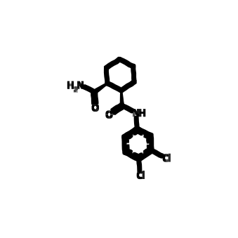 NC(=O)[C@H]1CCCC[C@H]1C(=O)Nc1ccc(Cl)c(Cl)c1